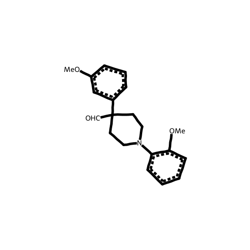 COc1cccc(C2(C=O)CCN(c3ccccc3OC)CC2)c1